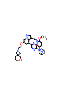 COc1ccc(CN2C3CC2CN(c2cnc(-c4cc(OCCN5CC6(CCCOC6)C5)cn5ncc(C#N)c45)cn2)C3)cn1